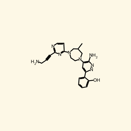 CC1CN(c2ccnc(C#CCN)n2)CCN(c2cc(-c3ccccc3O)nnc2N)C1